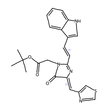 CC(C)(C)OC(=O)CN1C(=O)/C(=C/c2cscn2)N=C1/C=C/c1c[nH]c2ccccc12